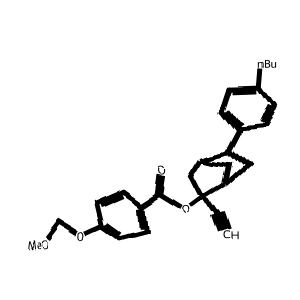 C#CC1(OC(=O)c2ccc(OCOC)cc2)CC2CC1CC2c1ccc(CCCC)cc1